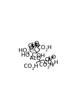 CC(=O)OC(CC(=O)O)(CC(=O)O)C(=O)O.O=C(O)CC(O)(CC(=O)O)C(=O)O.[O]=[U]=[O].[O]=[U]=[O].[O]=[U]=[O]